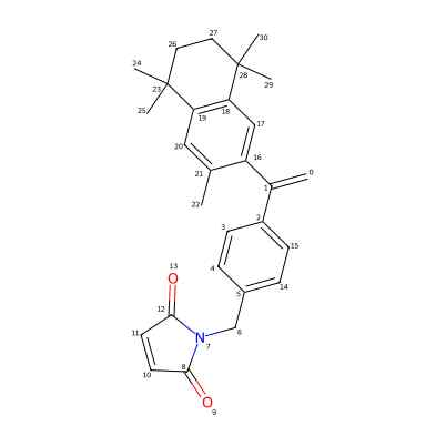 C=C(c1ccc(CN2C(=O)C=CC2=O)cc1)c1cc2c(cc1C)C(C)(C)CCC2(C)C